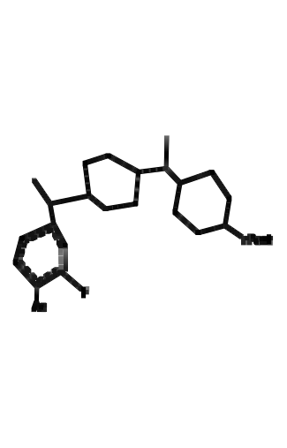 CCCCCC1CCC(C(C)C2CCC(C(C)c3ccc(C(C)=O)c(F)c3)CC2)CC1